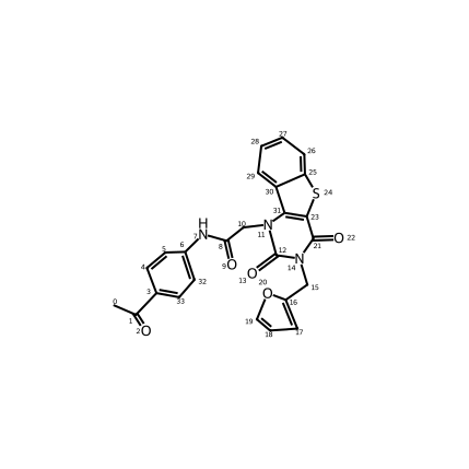 CC(=O)c1ccc(NC(=O)Cn2c(=O)n(Cc3ccco3)c(=O)c3sc4ccccc4c32)cc1